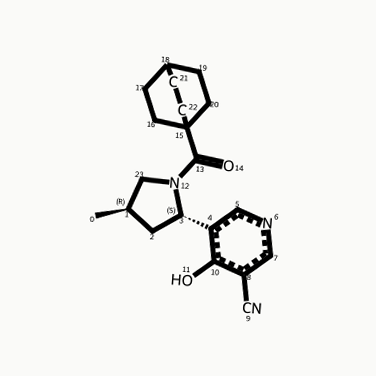 C[C@@H]1C[C@@H](c2cncc(C#N)c2O)N(C(=O)C23CCC(CC2)CC3)C1